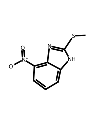 CSc1nc2c([N+](=O)[O-])cccc2[nH]1